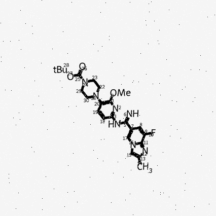 COc1nc(NC(=N)c2cc(F)c3nc(C)cn3c2)ccc1N1CCN(C(=O)OC(C)(C)C)CC1